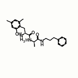 Cc1cc(C)c(C[C@H](N)C(=O)N[C@H](C)C(=O)NCCCc2ccccc2)c(O)c1